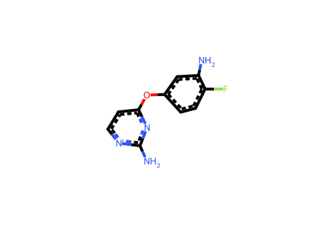 Nc1nccc(Oc2ccc(F)c(N)c2)n1